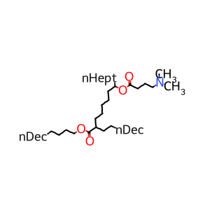 CCCCCCCCCCCCCCOC(=O)C(CCCCCCCCCCCC)CCCCCC(CCCCCCC)OC(=O)CCCN(C)C